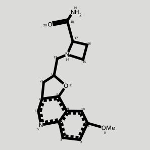 COc1ccc2ncc3c(c2c1)OC(CN1C[CH]C1C(N)=O)C3